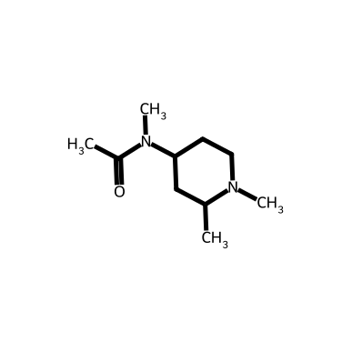 CC(=O)N(C)C1CCN(C)C(C)C1